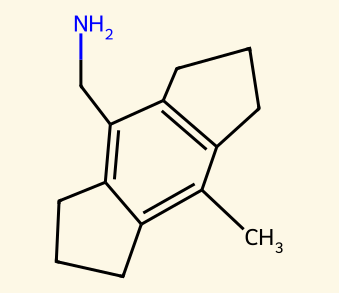 Cc1c2c(c(CN)c3c1CCC3)CCC2